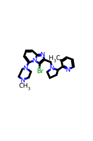 Cc1cccnc1C1CCCN1Cc1nc2cccc(N3CCN(C)CC3)n2c1Br